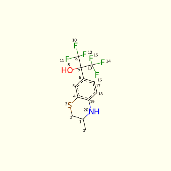 CC1CSc2cc(C(O)(C(F)(F)F)C(F)(F)F)ccc2N1